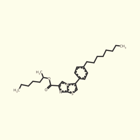 CCCCCCCCc1ccc(-c2csc3nc(C(=O)OC(C)CCCCC)cn23)cc1